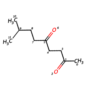 CC(=O)CCC(=O)CCC(C)C